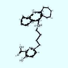 O=C(O)c1nc(CCCCNc2c3c(nc4ccccc24)CCCCC3)ccc1O